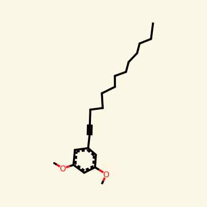 CCCCCCCCCCCC#Cc1cc(OC)cc(OC)c1